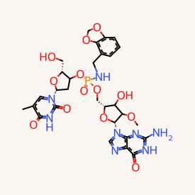 COC1C(O)[C@@H](COP(=O)(NCc2cccc3c2OCO3)OC2C[C@H](n3cc(C)c(=O)[nH]c3=O)O[C@@H]2CO)O[C@H]1n1cnc2c(=O)[nH]c(N)nc21